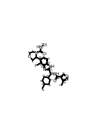 CCNC(=O)N1CCOCC1c1ccc2[nH]c([C@@H](NC(=O)c3conc3C)C3CCC(C)CC3)nc2c1F